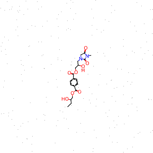 CCC(O)COC(=O)c1ccc(C(=O)OCC(O)CN2CC(=O)N(C)C2=O)cc1